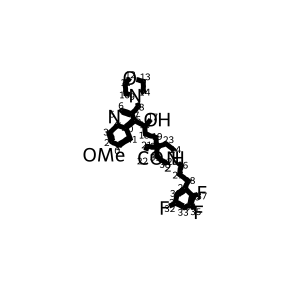 COc1ccc2ncc(CN3CCOCC3)c(C(O)CCC3(CC(=O)O)CCN(CCCc4cc(F)cc(F)c4F)CC3)c2c1